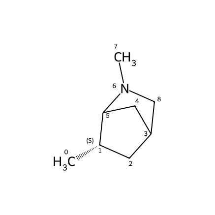 C[C@H]1CC2CC1N(C)C2